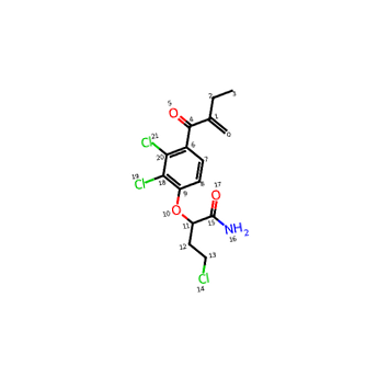 C=C(CC)C(=O)c1ccc(OC(CCCl)C(N)=O)c(Cl)c1Cl